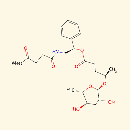 COC(=O)CCC(=O)NC[C@H](OC(=O)CC[C@@H](C)O[C@@H]1O[C@@H](C)[C@H](O)C[C@H]1O)c1ccccc1